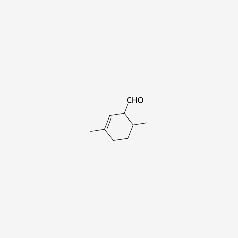 CC1=CC(C=O)C(C)CC1